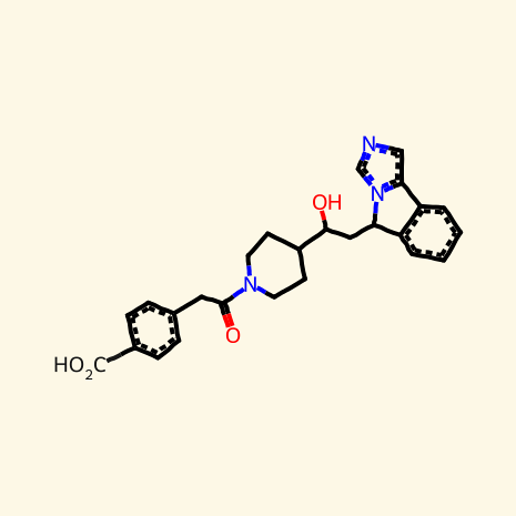 O=C(O)c1ccc(CC(=O)N2CCC(C(O)CC3c4ccccc4-c4cncn43)CC2)cc1